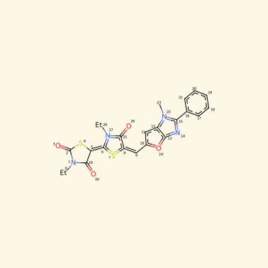 CCN1C(=O)S/C(=c2/s/c(=C/c3cc4c(nc(-c5ccccc5)n4C)o3)c(=O)n2CC)C1=O